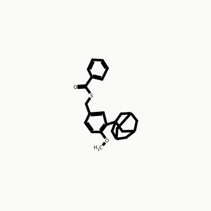 COc1ccc(CSC(=O)c2ccccc2)cc1C12CC3CC(CC(C3)C1)C2